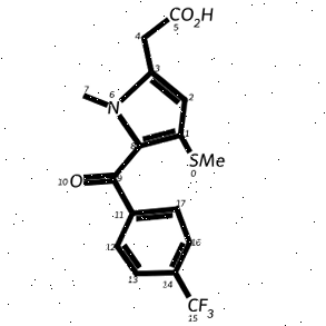 CSc1cc(CC(=O)O)n(C)c1C(=O)c1ccc(C(F)(F)F)cc1